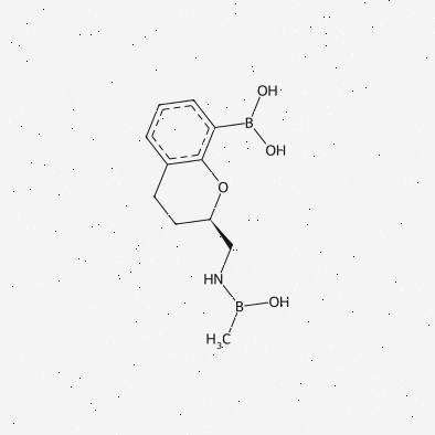 CB(O)NC[C@H]1CCc2cccc(B(O)O)c2O1